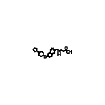 O=C(O)CCNCc1cc2ccc(OC3CCC(C4CCCC4)CC3)cc2cn1